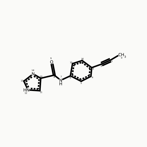 CC#Cc1ccc(NC(=O)c2c[nH]cn2)cc1